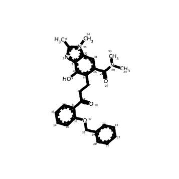 Cc1nc2c(O)c(CCC(=O)c3ccccc3OCc3ccccc3)c(C(=O)N(C)C)cc2n1C